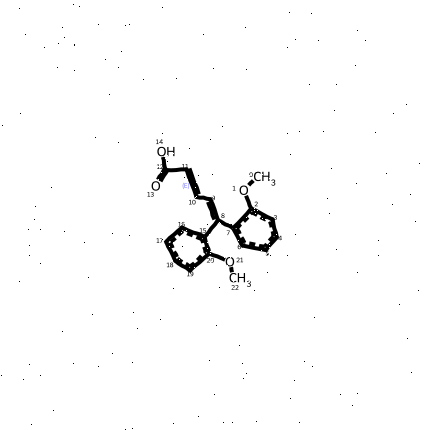 COc1ccccc1C(=C/C=C/C(=O)O)c1ccccc1OC